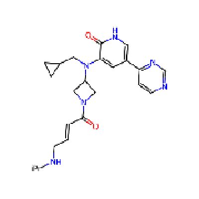 CC(C)NCC=CC(=O)N1CC(N(CC2CC2)c2cc(-c3ccncn3)c[nH]c2=O)C1